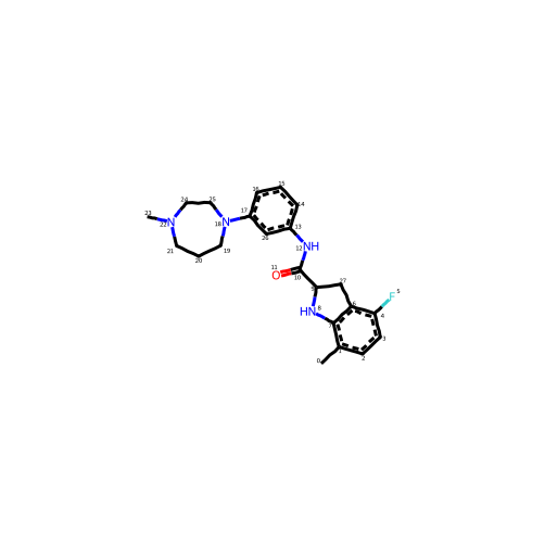 Cc1ccc(F)c2c1NC(C(=O)Nc1cccc(N3CCCN(C)CC3)c1)C2